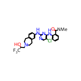 CNC(=O)c1ccccc1Nc1nc(Nc2ccc3c(c2)CCN(C[C@H](O)C(F)(F)F)CC3)ncc1Cl